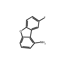 Nc1cccc2oc3ccc(F)cc3c12